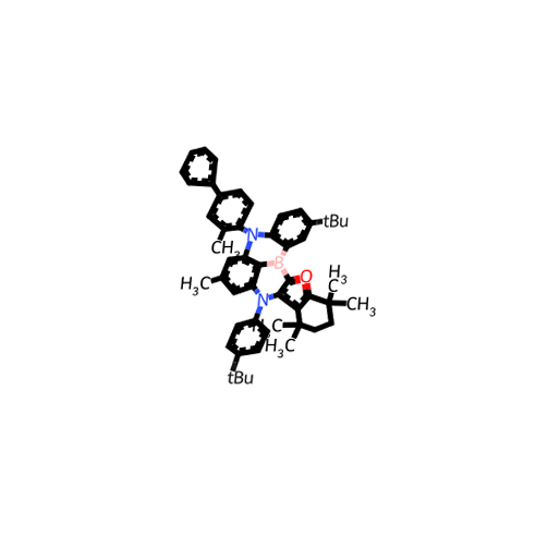 Cc1cc2c3c(c1)N(c1ccc(C(C)(C)C)cc1)c1c(oc4c1C(C)(C)CCC4(C)C)B3c1cc(C(C)(C)C)ccc1N2c1ccc(-c2ccccc2)cc1C